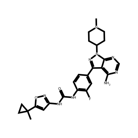 CN1CCC(n2nc(-c3ccc(NC(=O)Nc4cc(C5(C)CC5)on4)c(F)c3)c3c(N)ncnc32)CC1